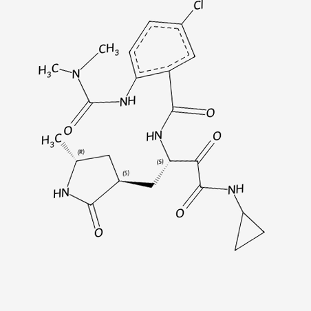 C[C@@H]1C[C@@H](C[C@H](NC(=O)c2cc(Cl)ccc2NC(=O)N(C)C)C(=O)C(=O)NC2CC2)C(=O)N1